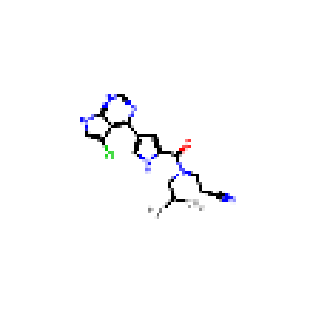 CC(C)CN(CCC#N)C(=O)c1cc(-c2ncnc3[nH]cc(Cl)c23)c[nH]1